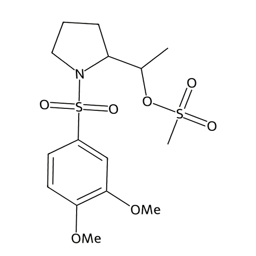 COc1ccc(S(=O)(=O)N2CCCC2C(C)OS(C)(=O)=O)cc1OC